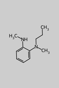 CCCN(C)c1ccccc1NC